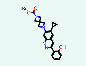 CC(C)(C)OC(=O)N1CC2(C1)CN(c1cc3nnc(-c4ccccc4O)cc3cc1C1CC1)C2